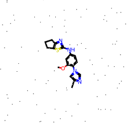 COc1cc(Nc2nc3c(s2)CCC3)ccc1-n1cnc(C)c1